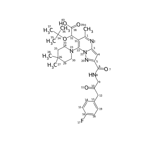 Cc1nc2cc(C(=O)NCC(=O)Cc3ccc(F)cc3)nn2c(N2CCC(C)(C)CC2)c1C(OC(C)(C)C)C(=O)O